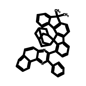 CC1(C)c2ccccc2-c2c1ccc1c2C2(c3c-1cccc3-c1nc3ccc4ccccc4c3nc1-c1ccccc1)C1CC3CC(C1)CC2C3